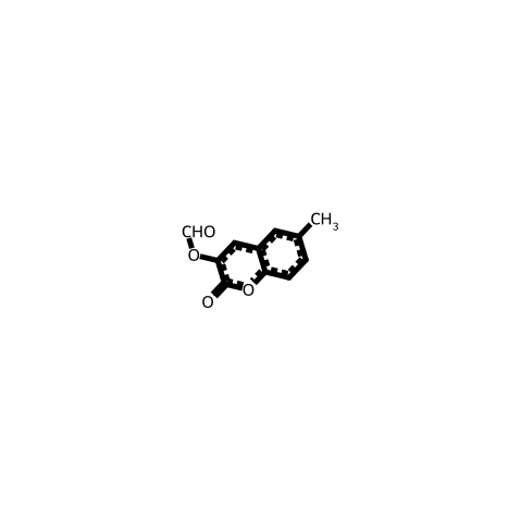 Cc1ccc2oc(=O)c(OC=O)cc2c1